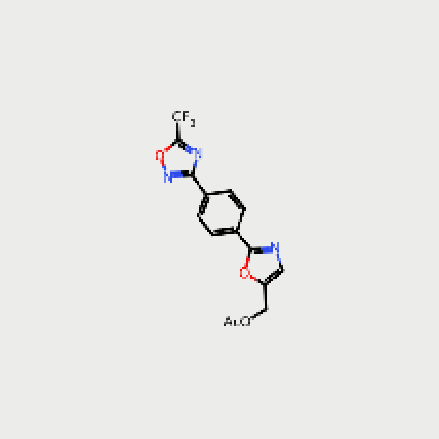 CC(=O)OCc1cnc(-c2ccc(-c3noc(C(F)(F)F)n3)cc2)o1